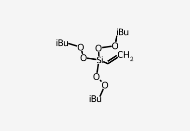 C=C[Si](OOC(C)CC)(OOC(C)CC)OOC(C)CC